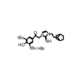 Br.CC(C)(C)c1cc(C(=O)Cn2ccn(CCC3C4CCC3CC4)c2=N)cc(C(C)(C)C)c1O